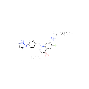 CNC[C@@H]1CCN(c2cc3c(cc2F)c(=O)c(C(=O)O)cn3Cc2ccc(-n3cccn3)cc2)C1